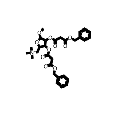 COC1OC(C[N+](C)(C)C)C(OC(=O)CC(=O)OCc2ccccc2)C1OC(=O)CC(=O)OCc1ccccc1